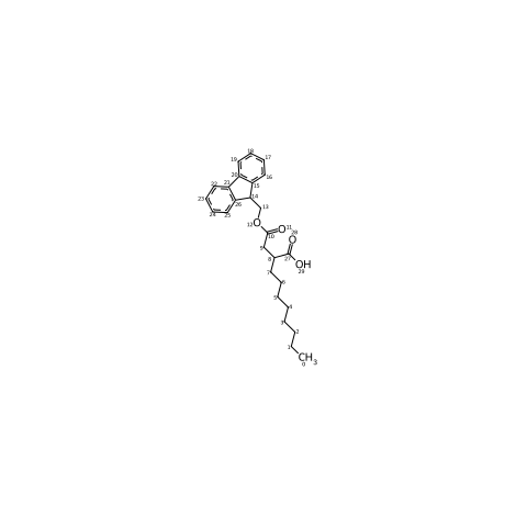 CCCCCCCCC(CC(=O)OCC1c2ccccc2-c2ccccc21)C(=O)O